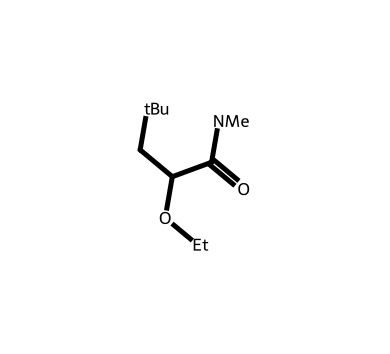 CCOC(CC(C)(C)C)C(=O)NC